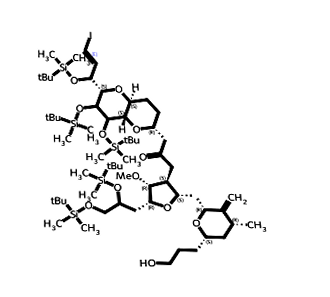 C=C1[C@H](C)C[C@H](CCCO)O[C@@H]1C[C@@H]1O[C@H](CC(CO[Si](C)(C)C(C)(C)C)O[Si](C)(C)C(C)(C)C)[C@H](OC)[C@H]1CC(=O)C[C@H]1CC[C@@H]2O[C@@H](C(/C=C/I)O[Si](C)(C)C(C)(C)C)C(O[Si](C)(C)C(C)(C)C)C(O[Si](C)(C)C(C)(C)C)[C@H]2O1